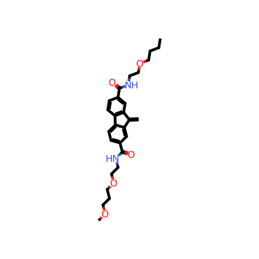 C=C1c2cc(C(=O)NCCOCCCC)ccc2-c2ccc(C(=O)NCCOCCCOC)cc21